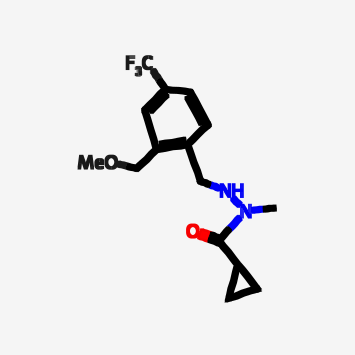 COCc1cc(C(F)(F)F)ccc1CNN(C)C(=O)C1CC1